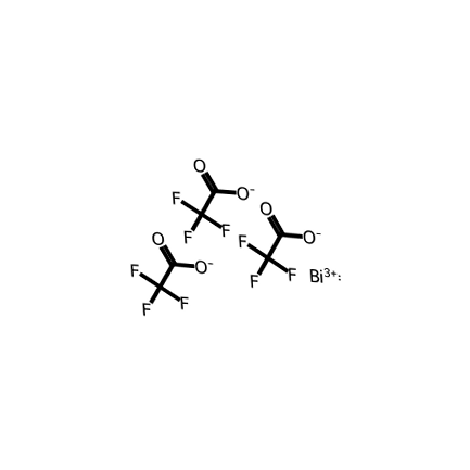 O=C([O-])C(F)(F)F.O=C([O-])C(F)(F)F.O=C([O-])C(F)(F)F.[Bi+3]